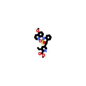 CCc1cc(C#Cc2ccccc2N(c2ccc(OC)c3cccnc23)[SH](=O)=O)cnc1C(=O)OC